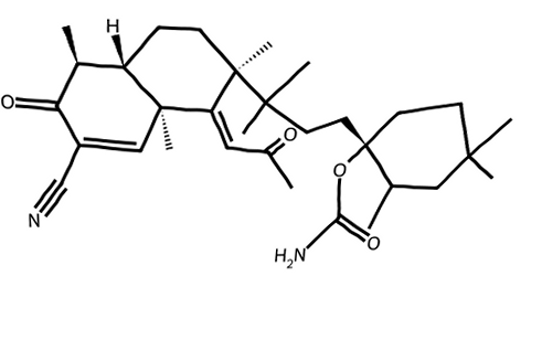 CC(=O)/C=C1/[C@@]2(C)C=C(C#N)C(=O)[C@@H](C)[C@@H]2CC[C@@]1(C)C(C)(C)CC[C@@]1(OC(N)=O)CCC(C)(C)CC1C